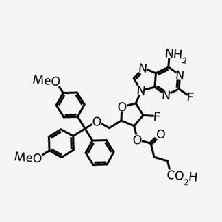 COc1ccc(C(OCC2OC(n3cnc4c(N)nc(F)nc43)C(F)C2OC(=O)CCC(=O)O)(c2ccccc2)c2ccc(OC)cc2)cc1